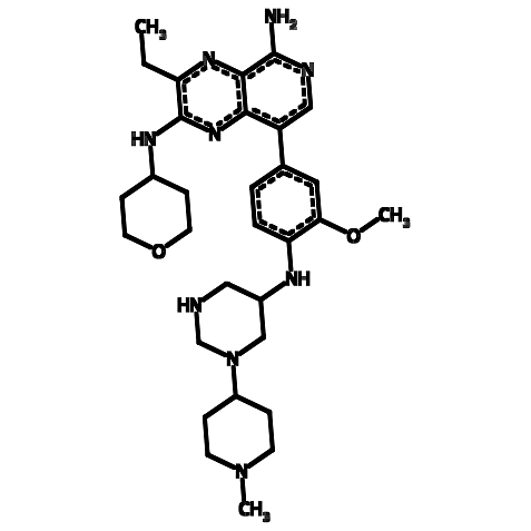 CCc1nc2c(N)ncc(-c3ccc(NC4CNCN(C5CCN(C)CC5)C4)c(OC)c3)c2nc1NC1CCOCC1